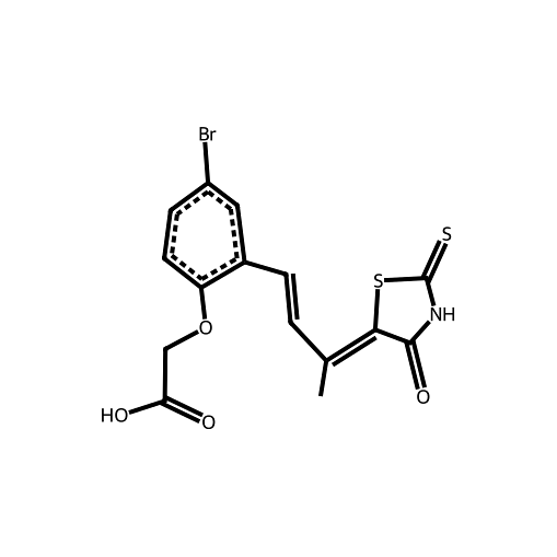 CC(C=Cc1cc(Br)ccc1OCC(=O)O)=C1SC(=S)NC1=O